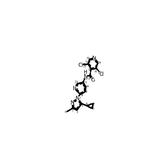 Cc1cc(C2CC2)n(-c2ccc(NC(=O)c3c(Cl)cncc3Cl)cn2)n1